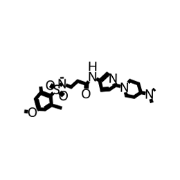 COc1cc(C)c(S(=O)(=O)N(C)CCC(=O)Nc2ccc(N3CCC(N(C)C)CC3)nc2)c(C)c1